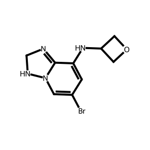 BrC1=CN2NCN=C2C(NC2COC2)=C1